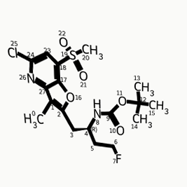 Cc1c(C[C@H](CCF)NC(=O)OC(C)(C)C)oc2c(S(C)(=O)=O)cc(Cl)nc12